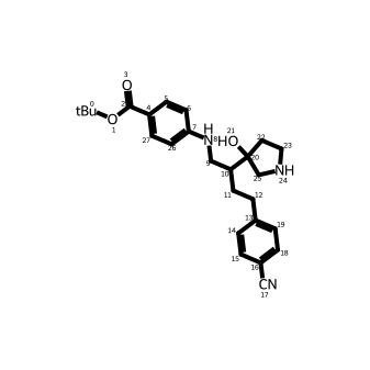 CC(C)(C)OC(=O)c1ccc(NCC(CCc2ccc(C#N)cc2)C2(O)CCNC2)cc1